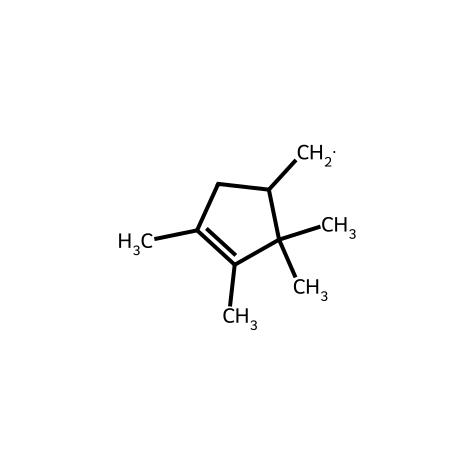 [CH2]C1CC(C)=C(C)C1(C)C